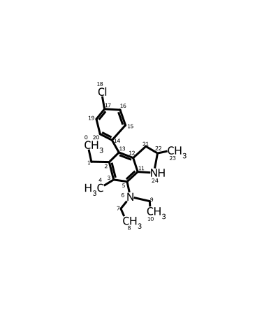 CCc1c(C)c(N(CC)CC)c2c(c1-c1ccc(Cl)cc1)CC(C)N2